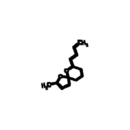 CCCCC1CCCC2(CCC(C)O2)O1